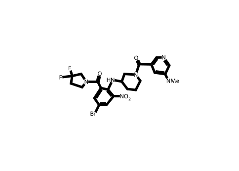 CNc1cncc(C(=O)N2CCCC(Nc3c(C(=O)N4CCC(F)(F)C4)cc(Br)cc3[N+](=O)[O-])C2)c1